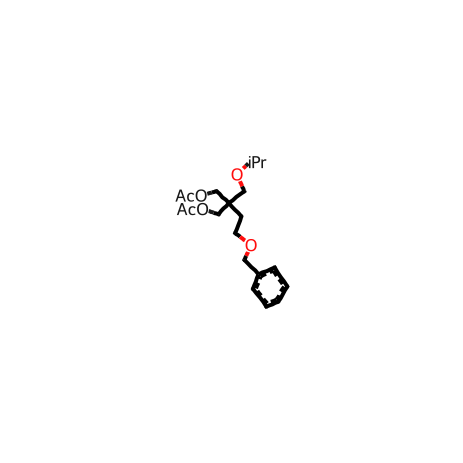 CC(=O)OCC(CCOCc1ccccc1)(COC(C)=O)COC(C)C